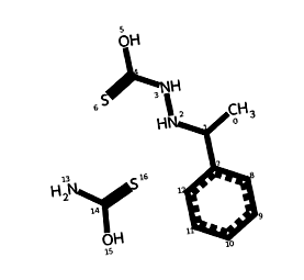 CC(NNC(O)=S)c1ccccc1.NC(O)=S